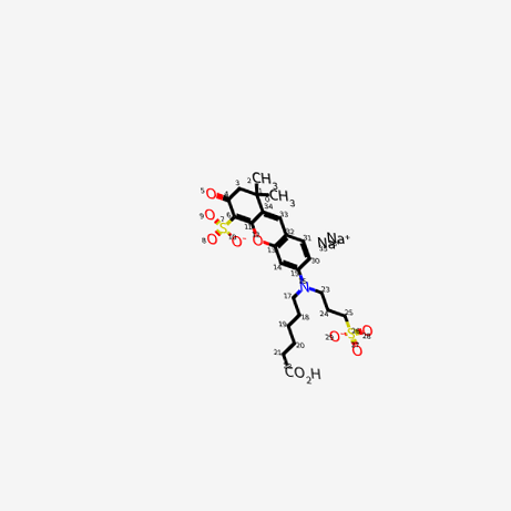 CC1(C)CC(=O)C(S(=O)(=O)[O-])=C2Oc3cc(N(CCCCCC(=O)O)CCCS(=O)(=O)[O-])ccc3C=C21.[Na+].[Na+]